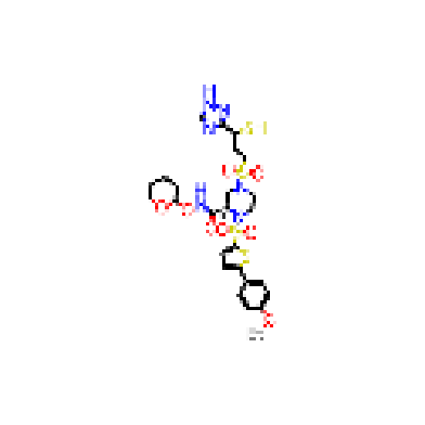 CCOc1ccc(-c2ccc(S(=O)(=O)N3CCN(S(=O)(=O)CCC(S)c4nc[nH]n4)C[C@@H]3C(=O)NOC3CCCCO3)s2)cc1